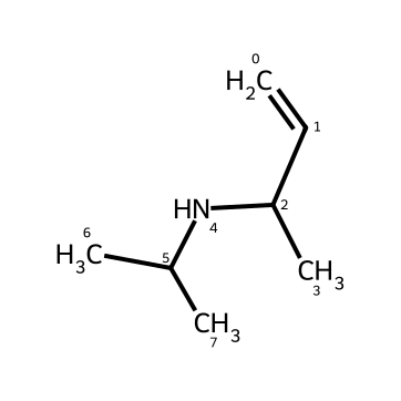 C=CC(C)NC(C)C